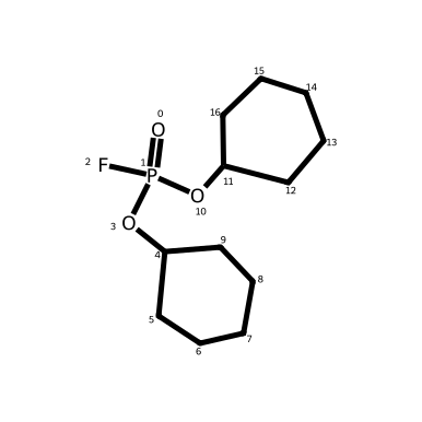 O=P(F)(OC1CCCCC1)OC1CCCCC1